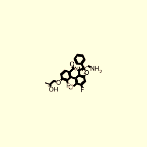 C[C@H](O)COc1ccc(C(N)=O)c(-c2c(Cl)c(F)cc3c2C[C@@](CN)(c2ccccc2)O3)c1F